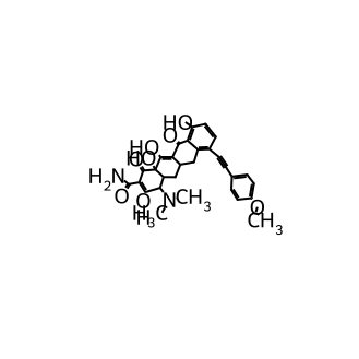 COc1ccc(C#Cc2ccc(O)c3c2CC2CC4C(N(C)C)C(O)=C(C(N)=O)C(=O)C4(O)C(O)=C2C3=O)cc1